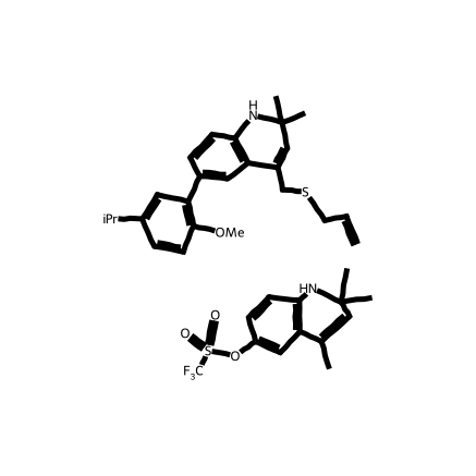 C=CCSCC1=CC(C)(C)Nc2ccc(-c3cc(C(C)C)ccc3OC)cc21.CC1=CC(C)(C)Nc2ccc(OS(=O)(=O)C(F)(F)F)cc21